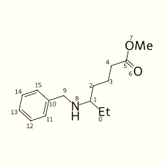 CCC(CCCC(=O)OC)NCc1ccccc1